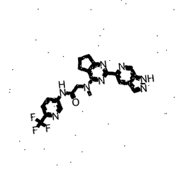 CN(CC(=O)Nc1ccc(C(F)(F)F)nc1)c1nc(-c2cc3cn[nH]c3cn2)nc2c1CCC2